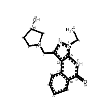 CCn1nc(CN2CC[C@H](O)C2)c2c3ccccc3c(=O)[nH]c21